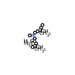 CC1(C)c2cc3ccccc3cc2-c2cc3ccc(N(c4ccccc4)c4ccc5c(c4)C(C)(C)c4c-5ccc5c4-c4ccccc4C5(C)C)cc3cc21